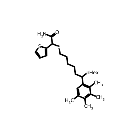 CCCCCCC(CCCCCSC(C(N)=O)c1cccs1)c1cc(C)c(C)c(C)c1C